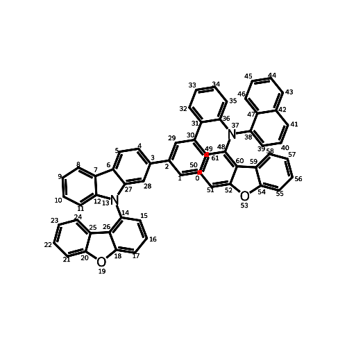 c1cc(-c2ccc3c4ccccc4n(-c4cccc5oc6ccccc6c45)c3c2)cc(-c2ccccc2N(c2cccc3ccccc23)c2cccc3oc4ccccc4c23)c1